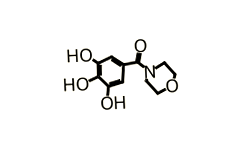 O=C(c1cc(O)c(O)c(O)c1)N1CCOCC1